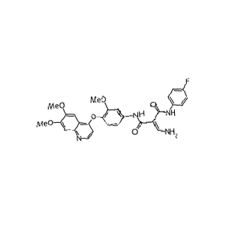 COc1cc2nccc(Oc3ccc(NC(=O)/C(=C/N)C(=O)Nc4ccc(F)cc4)cc3OC)c2cc1OC